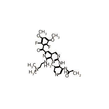 C=CC(=O)Nc1cncc(C)c1Nc1ncc2cc(C(=O)c3c(F)c(OC)cc(OC)c3F)nc(NCCN(C)C)c2n1